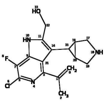 C=C(C)c1nc(Cl)c(F)c2[nH]c(CO)c(C3C4CNCC43)c12